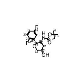 CC(C)(C)OC(=O)N[C@H]1C[C@@H](O)CO[C@@H]1c1cc(F)ccc1F